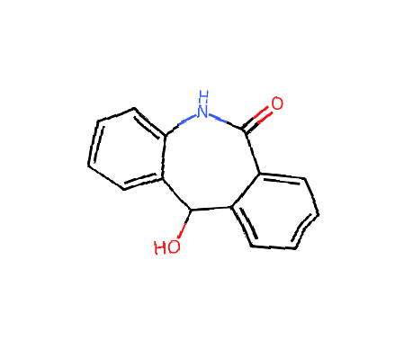 O=C1Nc2ccccc2C(O)c2ccccc21